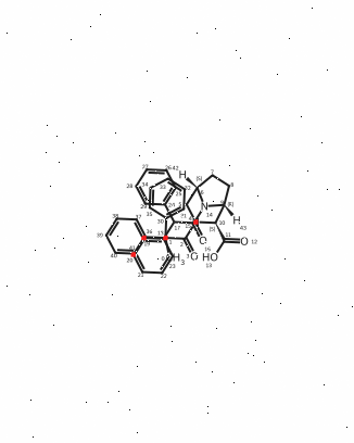 CC(C(=O)N1C[C@@H]2CC[C@H]([C@H]1C(=O)O)N2C(=O)C(c1ccccc1)c1ccccc1)(c1ccccc1)c1ccccc1